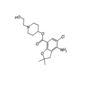 CC1(C)Cc2c(N)c(Cl)cc(C(=O)OC3CCN(CCO)CC3)c2O1